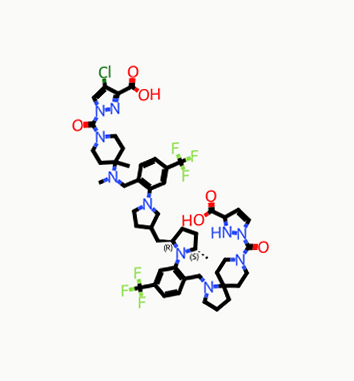 C[C@H]1CC[C@H](CC2CCN(c3cc(C(F)(F)F)ccc3CN(C)C3(C)CCN(C(=O)n4cc(Cl)c(C(=O)O)n4)CC3)C2)N1c1cc(C(F)(F)F)ccc1CN1CCCC12CCN(C(=O)N1C=CC(C(=O)O)N1)CC2